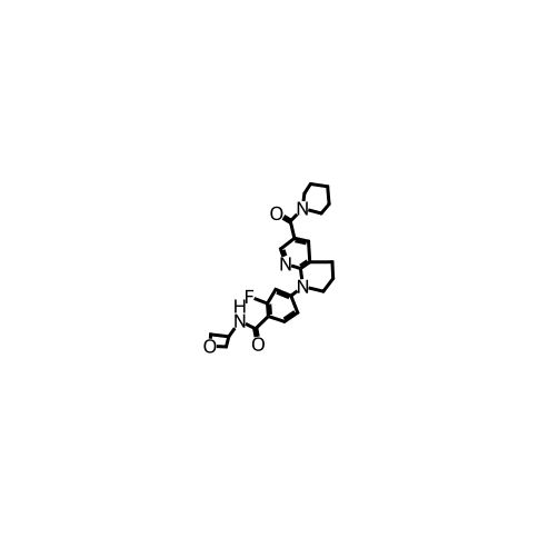 O=C(NC1COC1)c1ccc(N2CCCc3cc(C(=O)N4CCCCC4)cnc32)cc1F